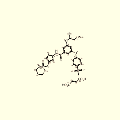 CCC(COC)Oc1cc(Oc2ccc(S(C)(=O)=O)nc2)cc(C(=O)Nc2nc(CP3(=O)OCCCO3)cs2)c1.O=C(O)/C=C/C(=O)O